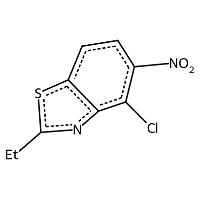 CCc1nc2c(Cl)c([N+](=O)[O-])ccc2s1